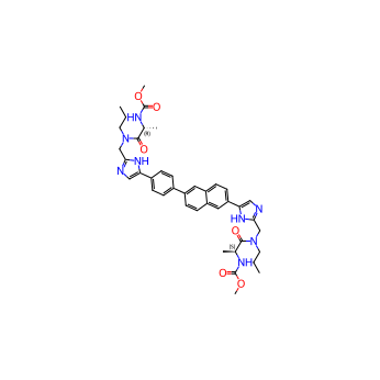 CCCN(Cc1ncc(-c2ccc3cc(-c4ccc(-c5cnc(CN(CCC)C(=O)[C@@H](C)NC(=O)OC)[nH]5)cc4)ccc3c2)[nH]1)C(=O)[C@H](C)NC(=O)OC